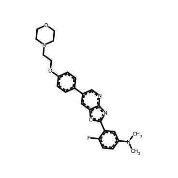 CN(C)c1ccc(F)c(-c2nc3ncc(-c4ccc(OCCN5CCOCC5)cc4)cc3o2)c1